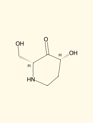 O=C1[C@H](O)CCN[C@@H]1CO